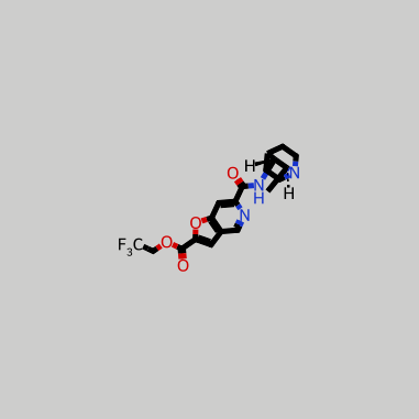 C[C@H]1[C@H](NC(=O)c2cc3oc(C(=O)OCC(F)(F)F)cc3cn2)C2CCN1CC2